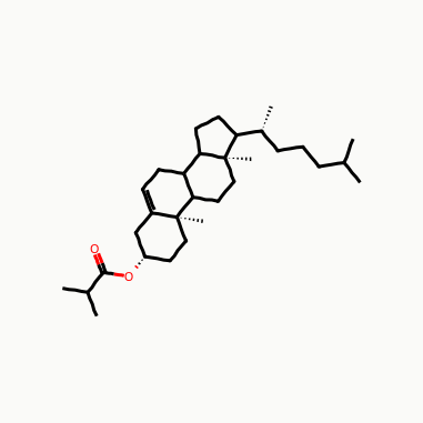 CC(C)CCC[C@@H](C)C1CCC2C3CC=C4C[C@@H](OC(=O)C(C)C)CC[C@]4(C)C3CC[C@@]21C